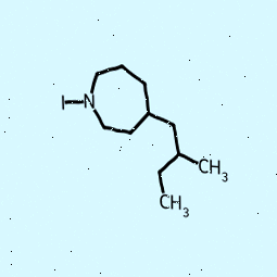 CCC(C)CC1CCCN(I)CC1